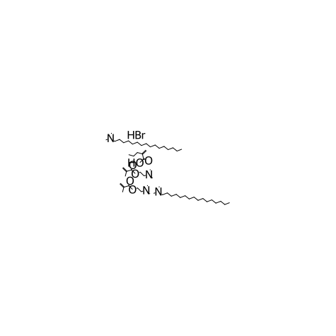 Br.C=C(C)C(=O)OCCN(C)C.C=C(C)C(=O)OCCN(C)C.C=C(CCC)C(=O)O.CCCCCCCCCCCCCCCCN(C)C.CCCCCCCCCCCCCCCCN(C)C